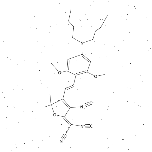 [C-]#[N+]C1=C(/C=C/c2c(OC)cc(N(CCCC)CCCC)cc2OC)C(C)(C)O/C1=C(\C#N)[N+]#[C-]